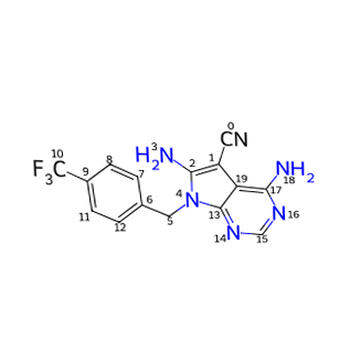 N#Cc1c(N)n(Cc2ccc(C(F)(F)F)cc2)c2ncnc(N)c12